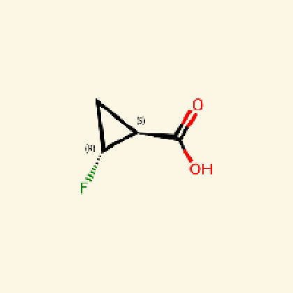 O=C(O)[C@@H]1C[C@H]1F